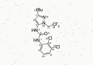 CC(C)(C)c1cc(NC(=O)Nc2cccc(Cl)c2Cl)n(CC(F)(F)F)n1